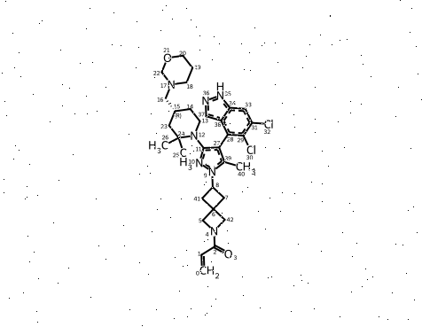 C=CC(=O)N1CC2(CC(n3nc(N4CC[C@@H](CN5CCCOC5)CC4(C)C)c(-c4c(Cl)c(Cl)cc5[nH]ncc45)c3C)C2)C1